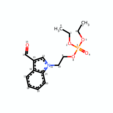 CCOP(=O)(OCC)OCCn1cc(C=O)c2ccccc21